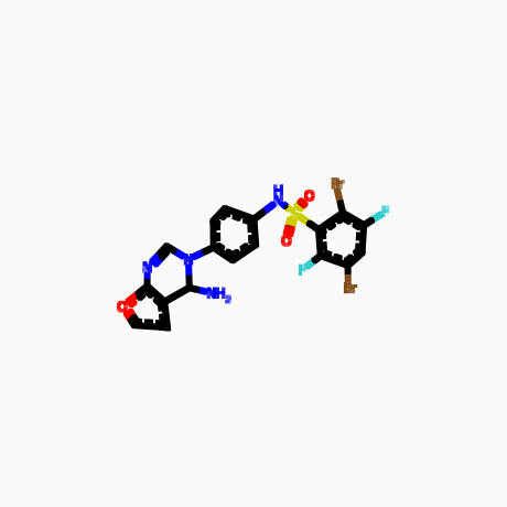 NC1c2ccoc2N=CN1c1ccc(NS(=O)(=O)c2c(F)c(Br)cc(F)c2Br)cc1